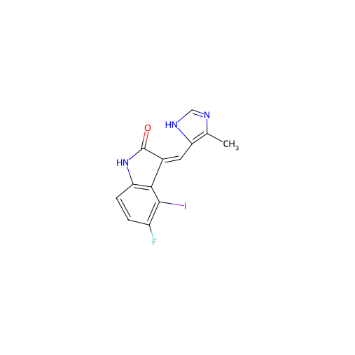 Cc1nc[nH]c1C=C1C(=O)Nc2ccc(F)c(I)c21